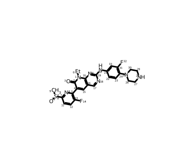 CCn1c(=O)c(-c2nc([S+](C)[O-])ccc2F)cc2cnc(Nc3ccc(N4CCNCC4)c(F)c3)nc21